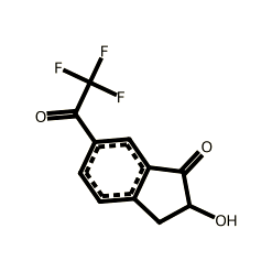 O=C1c2cc(C(=O)C(F)(F)F)ccc2CC1O